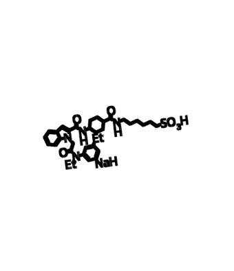 CCc1cccc(N(CC)C(=O)Cn2c(C(=O)NC3CCC(C(=O)NCCCCCCS(=O)(=O)O)CC3)cc3ccccc32)c1.[NaH]